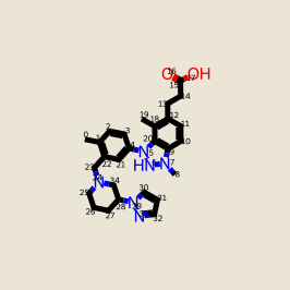 Cc1ccc(N2NN(C)c3ccc(CCC(=O)O)c(C)c32)cc1CN1CCCC(n2cccn2)C1